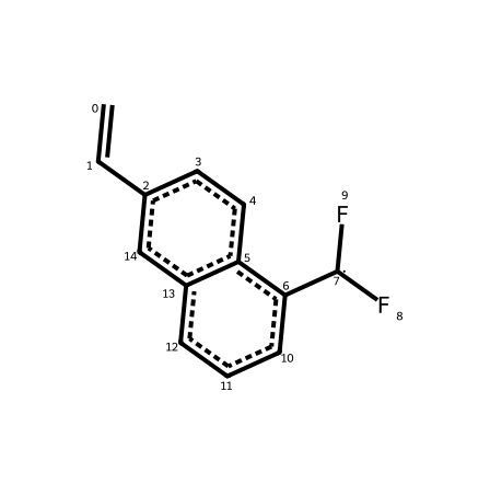 C=Cc1ccc2c([C](F)F)cccc2c1